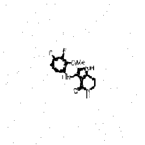 COc1c(Nc2c[nH]c3c2C(=O)NCC3)ccc(F)c1F